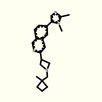 Cc1ncc(-c2ccc3cnc(C4CN(CC5(C)CCC5)C4)cc3c2)n1C